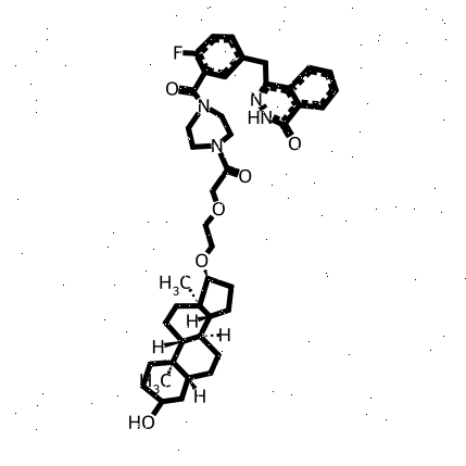 C[C@@]12CCC(O)C[C@H]1CC[C@H]1[C@H]2CC[C@]2(C)[C@@H]1CC[C@H]2OCCOCC(=O)N1CCN(C(=O)c2cc(Cc3n[nH]c(=O)c4ccccc34)ccc2F)CC1